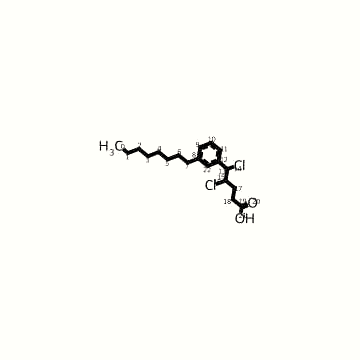 CCCCCCCCc1cccc(C(Cl)C(Cl)CCC(=O)O)c1